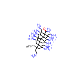 CCCCCC(CCN)(CCN)C(CCN)(CCN)C(CCN)(CCN)C(CCN)(CCN)C(CCN)(CCN)C(CCN)(CCN)C(N)=O